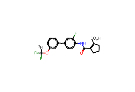 [2H]C(F)(F)Oc1cccc(-c2ccc(NC(=O)C3=C(C(=O)O)CCC3)c(F)c2)c1